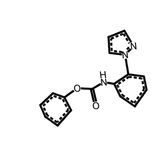 O=C(Nc1ccccc1-n1cccn1)Oc1ccccc1